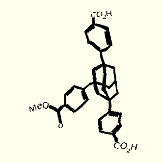 COC(=O)c1ccc(C23CC4CC(c5ccc(C(=O)O)cc5)(CC(c5ccc(C(=O)O)cc5)(C4)C2)C3)cc1